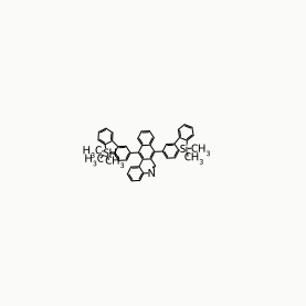 C[Si]1(C)c2ccccc2-c2cc(-c3c4ccccc4c(-c4ccc5c(c4)-c4ccccc4[SH]5(C)(C)C)c4c3cnc3ccccc34)ccc21